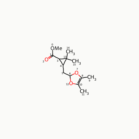 COC(=O)C1C(CC2OC(C)=C(C)O2)C1(C)C